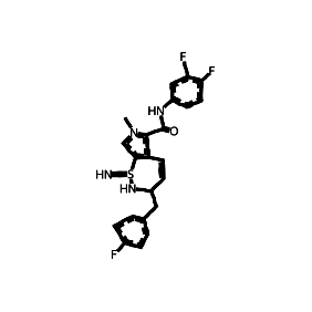 Cn1cc2c(c1C(=O)Nc1ccc(F)c(F)c1)C=CC(Cc1ccc(F)cc1)NS2=N